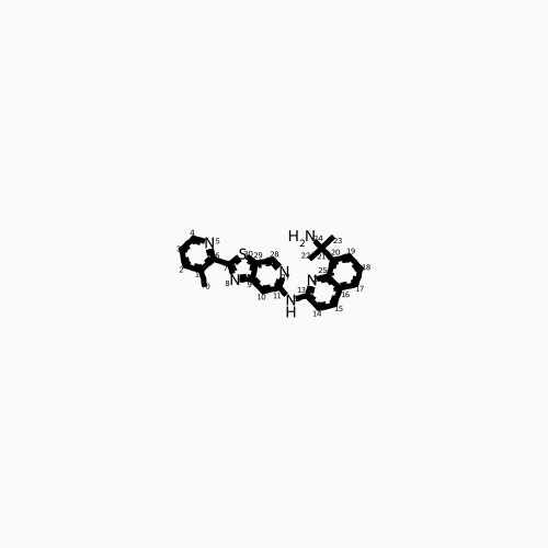 Cc1cccnc1-c1nc2cc(Nc3ccc4cccc(C(C)(C)N)c4n3)ncc2s1